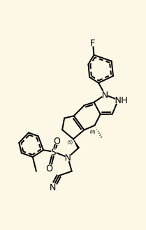 Cc1ccccc1S(=O)(=O)N(CC#N)C[C@H]1CCC2=C1[C@@H](C)C1=CNN(c3ccc(F)cc3)C1=C2